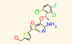 C[C@@H](Oc1c(N)ncc2c(-c3ccc(C=O)s3)coc12)c1c(Cl)ccc(F)c1Cl